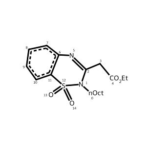 CCCCCCCCN1C(CC(=O)OCC)=Nc2ccccc2S1(=O)=O